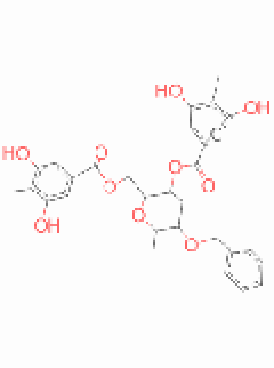 Cc1c(O)cc(C(=O)OCC2OC(C)C(OCc3ccccc3)C(C)C2OC(=O)c2cc(O)c(C)c(O)c2)cc1O